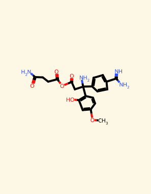 COc1ccc(C(N)(CC(=O)OC(=O)CCC(N)=O)c2ccc(C(=N)N)cc2)c(O)c1